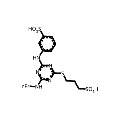 CCCNc1nc(Nc2cccc(S(=O)(=O)O)c2)nc(SCCCS(=O)(=O)O)n1